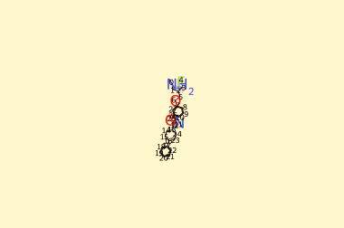 NC/C(=C\F)COc1ccc2nc(C3CCC(c4ccccc4)CC3)oc2c1